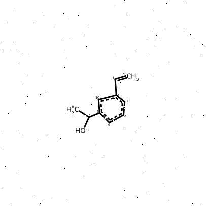 C=Cc1cccc(C(C)O)c1